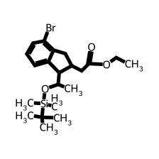 CCOC(=O)CC1Cc2c(Br)cccc2C1C(C)O[Si](C)(C)C(C)(C)C